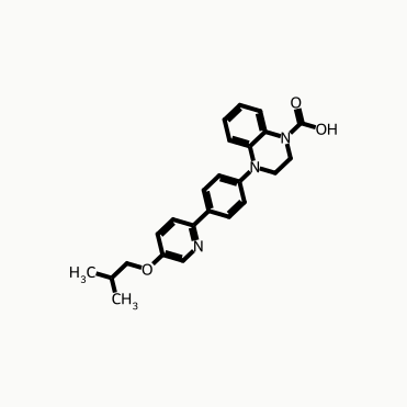 CC(C)COc1ccc(-c2ccc(N3CCN(C(=O)O)c4ccccc43)cc2)nc1